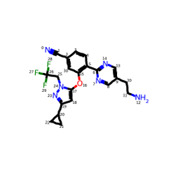 N#Cc1ccc(-c2ncc(CCN)cn2)c(Oc2cc(C3CC3)nn2CC(F)(F)F)c1